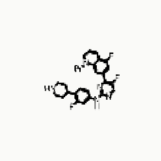 CC(C)N1CC=Cc2c(F)cc(-c3nc(Nc4ccc(C5CCNCC5)c(F)c4)ncc3F)cc21